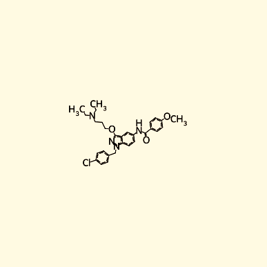 CCN(CC)CCCOc1nn(Cc2ccc(Cl)cc2)c2ccc(NC(=O)c3ccc(OC)cc3)cc12